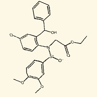 CCOC(=O)CN(c1ccc(Cl)cc1C(O)c1ccccc1)[S+]([O-])c1ccc(OC)c(OC)c1